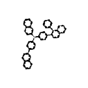 c1ccc(-c2c(-c3ccc(N(c4ccc(-c5ccc6ccccc6c5)cc4)c4ccc5ccccc5c4)cc3)ccc3ccccc23)cc1